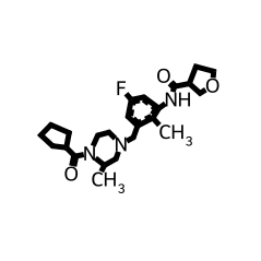 Cc1c(CN2CCN(C(=O)C3CCCC3)C(C)C2)cc(F)cc1NC(=O)C1CCOC1